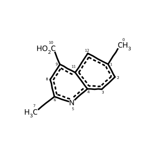 Cc1ccc2nc(C)cc(C(=O)O)c2c1